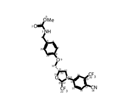 COC(=O)NCc1ccc(OC[C@@H]2CN(c3ccc(C#N)c(C(F)(F)F)c3)[C@@H](C(F)(F)F)O2)cc1